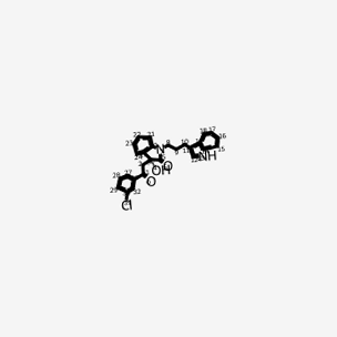 O=C(C[C@]1(O)C(=O)N(CCCc2c[nH]c3ccccc23)c2ccccc21)c1cccc(Cl)c1